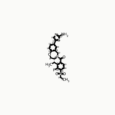 CCc1c(C(=O)N2CCOc3ccc(-c4cnc(N)s4)cc3C2)ccc(S(=O)(=O)CC)c1F